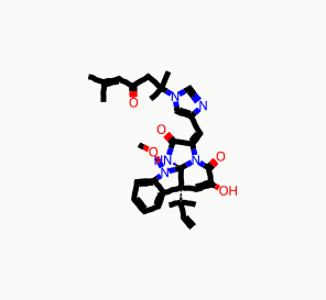 C=CC(C)(C)[C@@]12C=C(O)C(=O)N3/C(=C/c4cn(C(C)(C)CC(=O)C=C(C)C)cn4)C(=O)N[C@]31N(OC)c1ccccc12